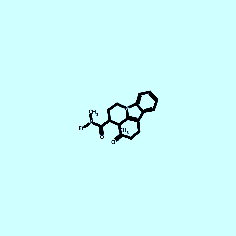 CCN(C)C(=O)C1CCn2c3c(c4ccccc42)CCC(=O)C31C